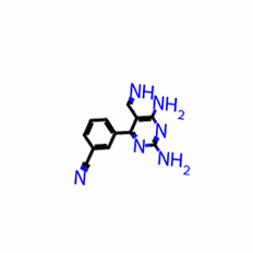 N#Cc1cccc(-c2nc(N)nc(N)c2C=N)c1